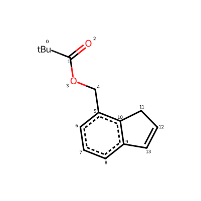 CC(C)(C)C(=O)OCc1cccc2c1CC=C2